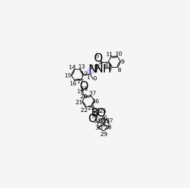 C/C(=N\NC(=O)c1ccccc1)c1ccccc1OCc1ccc(B2OC3CC4CC(C3O2)C4(C)C)cc1